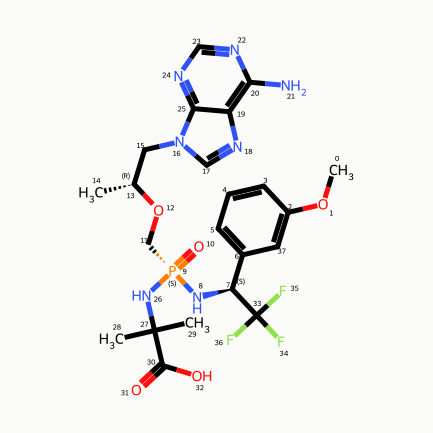 COc1cccc([C@H](N[P@@](=O)(CO[C@H](C)Cn2cnc3c(N)ncnc32)NC(C)(C)C(=O)O)C(F)(F)F)c1